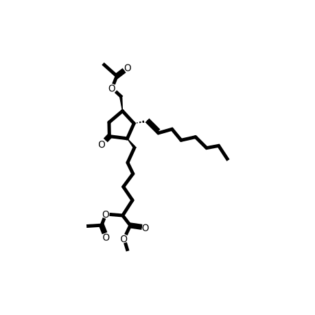 CCCCCCC=C[C@H]1[C@H](COC(C)=O)CC(=O)[C@@H]1CCCCCC(OC(C)=O)C(=O)OC